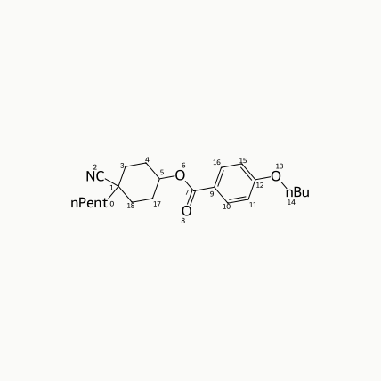 CCCCCC1(C#N)CCC(OC(=O)c2ccc(OCCCC)cc2)CC1